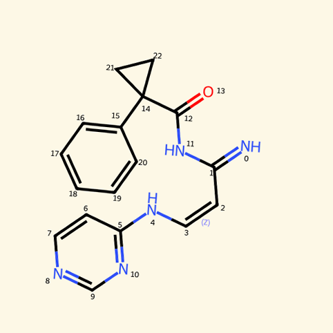 N=C(/C=C\Nc1ccncn1)NC(=O)C1(c2ccccc2)CC1